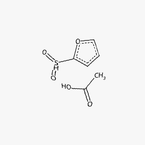 CC(=O)O.O=[SH](=O)c1ccco1